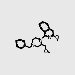 COCC1CN(Cc2ccccc2)CCN1c1nc(OC)cc2ccccc12